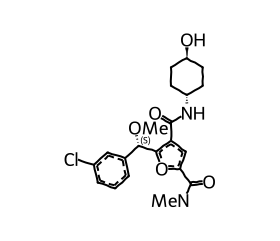 CNC(=O)c1cc(C(=O)N[C@H]2CC[C@H](O)CC2)c([C@@H](OC)c2cccc(Cl)c2)o1